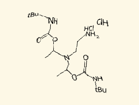 CC(OC(=O)NC(C)(C)C)N(CCN)C(C)OC(=O)NC(C)(C)C.Cl.Cl